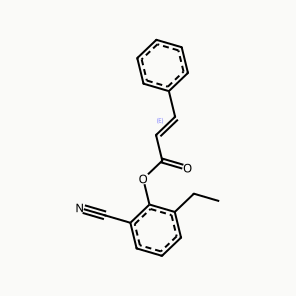 CCc1cccc(C#N)c1OC(=O)/C=C/c1ccccc1